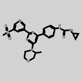 CC1COCCN1c1cc(-c2ccc(NC(=O)NC3CC3)cc2)nc(-c2cncc(S(C)(=O)=O)c2)n1